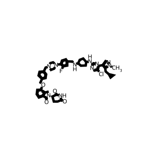 Cn1ncc(-c2nc(NC3CCC(NCc4ccc(N5CCN(Cc6ccc(COc7cccc8c7CN([C@H]7CCC(=O)NC7=O)C8=O)cc6)CC5)c(F)c4)CC3)ncc2Cl)c1CC1CC1